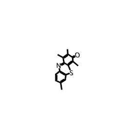 Cc1ccc2nc3c(C)c(C)c(=O)c(C)c-3sc2c1